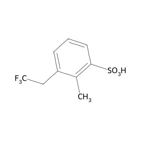 Cc1c(CC(F)(F)F)cccc1S(=O)(=O)O